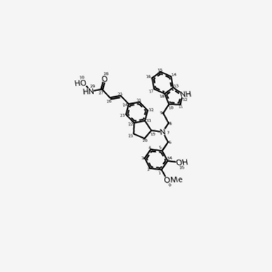 COc1cccc(CN(CCc2c[nH]c3ccccc23)C2CCc3cc(/C=C/C(=O)NO)ccc32)c1O